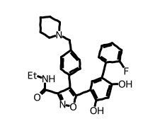 CCNC(=O)c1noc(-c2cc(-c3ccccc3F)c(O)cc2O)c1-c1ccc(CN2CCCCC2)cc1